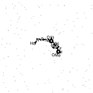 CCc1cc(Nc2nccn3c(-c4ccc(OC)c(F)c4F)cnc23)ccc1C(=O)NCCOCC[N+](C)(C)CCO